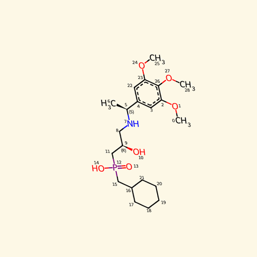 COc1cc([C@H](C)NC[C@@H](O)CP(=O)(O)CC2CCCCC2)cc(OC)c1OC